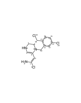 N/C(Cl)=C\C1=CNCCN1Cc1cc(Cl)ccc1CCl